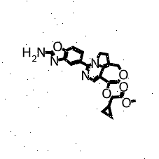 COC(=O)C(OC1=COCC2=C3C1=CN=C(c1ccc4oc(N)nc4c1)N3CC2)C1CC1